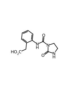 O=C(O)Cc1ccccc1NC(=O)N1CCNC1=O